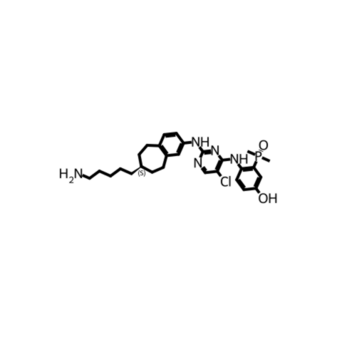 CP(C)(=O)c1cc(O)ccc1Nc1nc(Nc2ccc3c(c2)CC[C@@H](CCCCCN)CC3)ncc1Cl